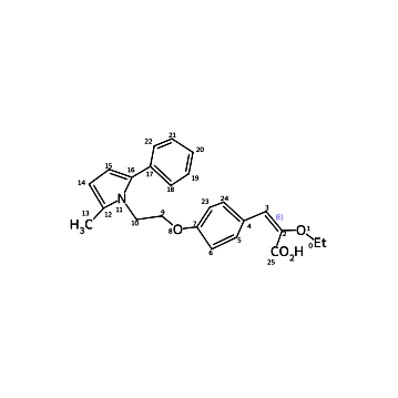 CCO/C(=C/c1ccc(OCCn2c(C)ccc2-c2ccccc2)cc1)C(=O)O